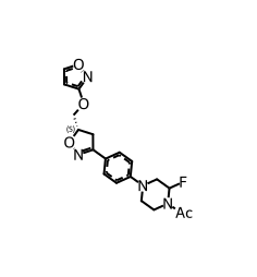 CC(=O)N1CCN(c2ccc(C3=NO[C@H](COc4ccon4)C3)cc2)CC1F